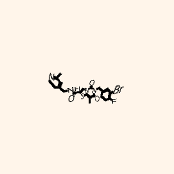 Cc1cc(CNC(=O)c2cn3c(=O)n(Cc4ccc(F)c(Br)c4)c(=O)c(C)c3s2)ccn1